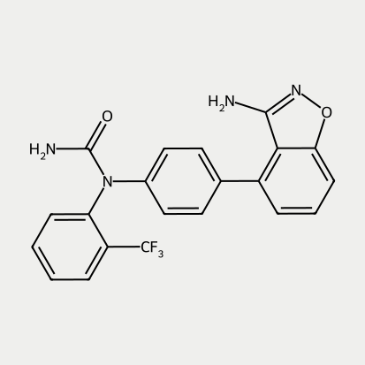 NC(=O)N(c1ccc(-c2cccc3onc(N)c23)cc1)c1ccccc1C(F)(F)F